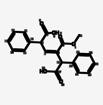 COC(=O)C(=CC(C(=O)O)c1ccccc1)C(C(=O)O)c1ccccc1